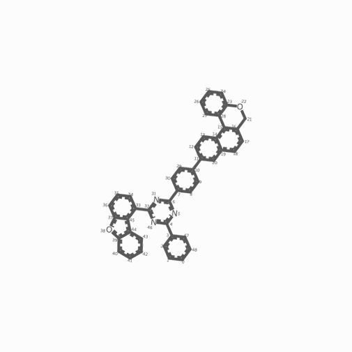 c1ccc(-c2nc(-c3ccc(-c4ccc5c6c(ccc5c4)COc4ccccc4-6)cc3)nc(-c3cccc4oc5ccccc5c34)n2)cc1